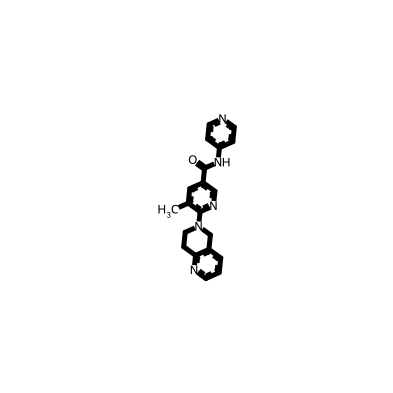 Cc1cc(C(=O)Nc2ccncc2)cnc1N1CCc2ncccc2C1